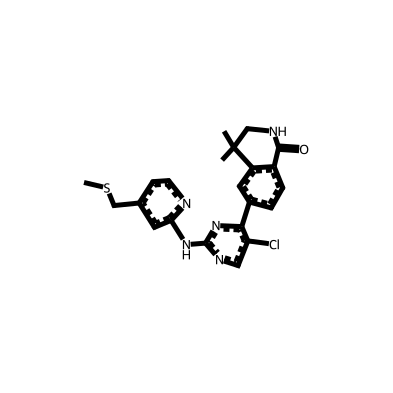 CSCc1ccnc(Nc2ncc(Cl)c(-c3ccc4c(c3)C(C)(C)CNC4=O)n2)c1